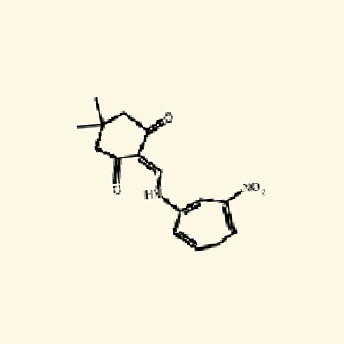 CC1(C)CC(=O)C(=CNC2=CC([N+](=O)[O-])=CCC=C2)C(=O)C1